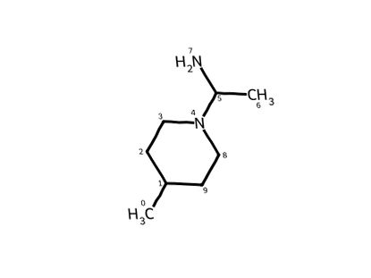 CC1CCN(C(C)N)CC1